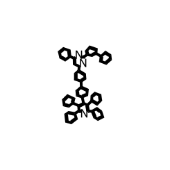 c1ccc(-c2cccc(-c3nc(-c4ccccc4)cc(-c4ccc(-c5ccc(-c6c(-c7ccccc7)c(-c7ccccc7)nc(-c7ccccc7)c6-c6ccccc6)cc5)cc4)n3)c2)cc1